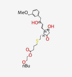 CCCCOCCOC(=O)CCCSCC[C@H]1C(=O)C[C@@H](O)[C@@H]1C=C[C@@H](O)Cc1cccc(COC)c1